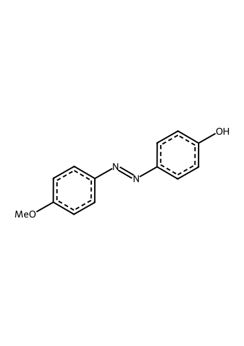 COc1ccc(N=Nc2ccc(O)cc2)cc1